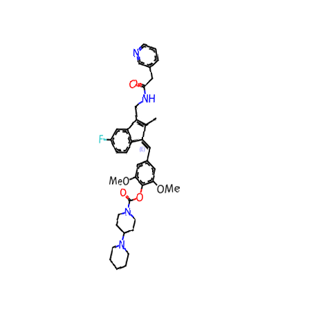 COc1cc(/C=C2/C(C)=C(CNC(=O)Cc3cccnc3)c3cc(F)ccc32)cc(OC)c1OC(=O)N1CCC(N2CCCCC2)CC1